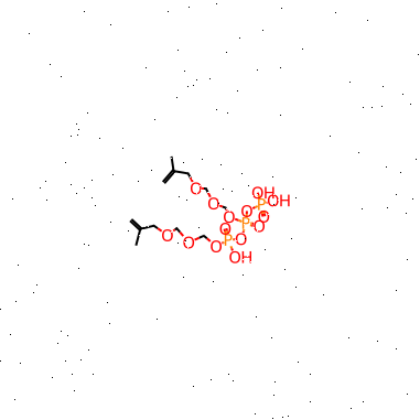 C=C(C)COCOCOP(=O)(O)OP(=O)(OCOCOCC(=C)C)OP(=O)(O)O